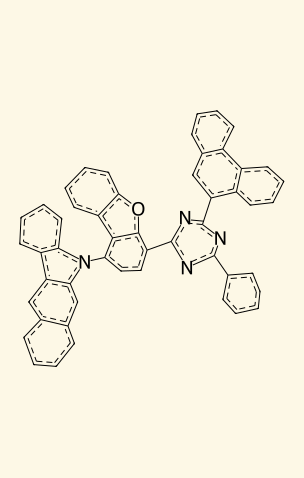 c1ccc(-c2nc(-c3cc4ccccc4c4ccccc34)nc(-c3ccc(-n4c5ccccc5c5cc6ccccc6cc54)c4c3oc3ccccc34)n2)cc1